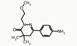 COCCN1N=C(c2ccc(N)cc2)CC(C)(C)C1=O